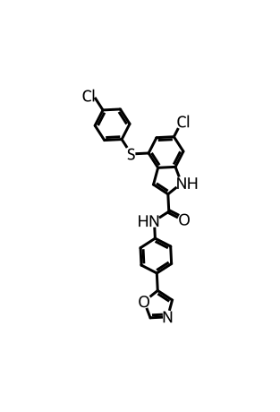 O=C(Nc1ccc(-c2cnco2)cc1)c1cc2c(Sc3ccc(Cl)cc3)cc(Cl)cc2[nH]1